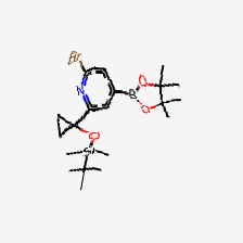 CC1(C)OB(c2cc(Br)nc(C3(O[Si](C)(C)C(C)(C)C)CC3)c2)OC1(C)C